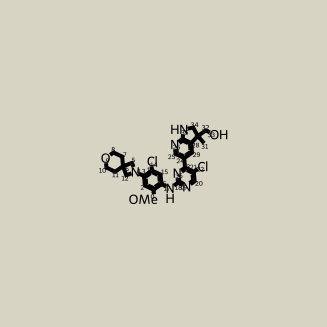 COc1cc(N2CC3(CCOCC3)C2)c(Cl)cc1Nc1ncc(Cl)c(-c2cnc3c(c2)C(C)(CO)CN3)n1